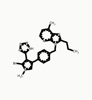 CCCc1nc2c(C)ccnc2n1Cc1ccc(-c2cn(C)c(Br)c2-c2nnn[nH]2)cc1